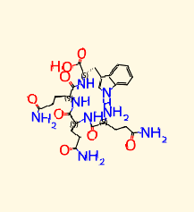 NC(=O)CC[C@H](NC(=O)[C@H](CCC(N)=O)NC(=O)[C@@H](N)CCC(N)=O)C(=O)N[C@@H](Cc1c[nH]c2ccccc12)C(=O)O